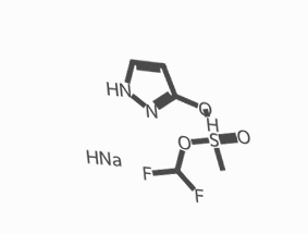 C[SH](=O)(Oc1cc[nH]n1)OC(F)F.[NaH]